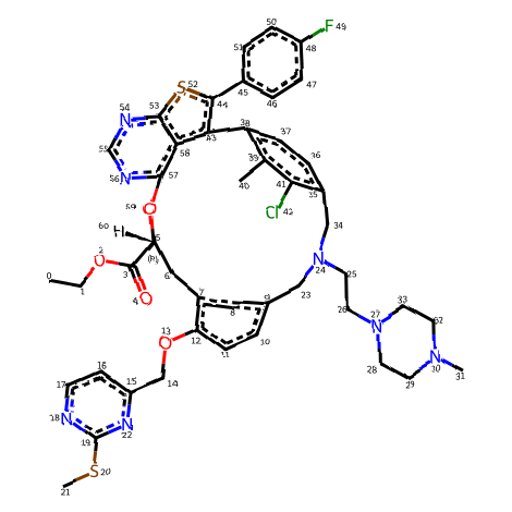 CCOC(=O)[C@H]1Cc2cc(ccc2OCc2ccnc(SC)n2)CN(CCN2CCN(C)CC2)Cc2ccc(c(C)c2Cl)-c2c(-c3ccc(F)cc3)sc3ncnc(c23)O1